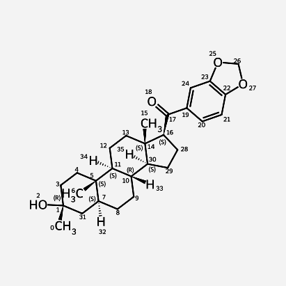 C[C@@]1(O)CC[C@@]2(C)[C@@H](CC[C@@H]3[C@@H]2CC[C@]2(C)[C@@H](C(=O)c4ccc5c(c4)OCO5)CC[C@@H]32)C1